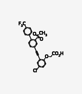 CS(=O)(=O)c1cc(C#Cc2cc(Cl)ccc2OCC(=O)O)ccc1-c1ccc(C(F)(F)F)cc1